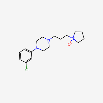 [O-][N+]1(CCCN2CCN(c3cccc(Cl)c3)CC2)CCCC1